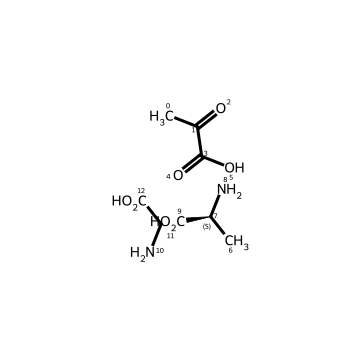 CC(=O)C(=O)O.C[C@H](N)C(=O)O.NCC(=O)O